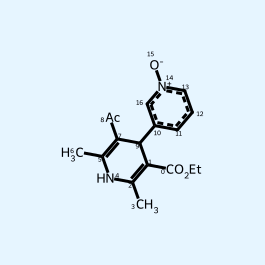 CCOC(=O)C1=C(C)NC(C)=C(C(C)=O)C1c1ccc[n+]([O-])c1